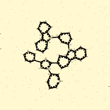 c1cncc(-c2nc(-c3ccc4c5ccccc5n(-c5cccc(-n6c7ccccc7c7ccccc76)c5)c4c3)n(-c3cccnc3)n2)c1